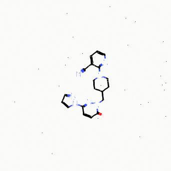 N#Cc1cccnc1N1CCC(Cn2nc(-n3cccn3)ccc2=O)CC1